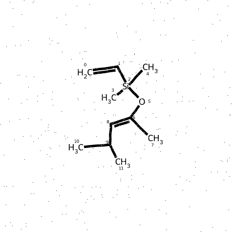 C=C[Si](C)(C)OC(C)=CC(C)C